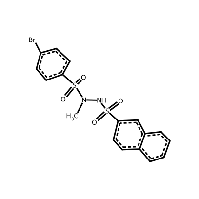 CN(NS(=O)(=O)c1ccc2ccccc2c1)S(=O)(=O)c1ccc(Br)cc1